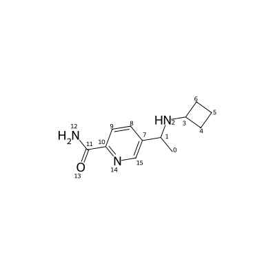 CC(NC1CCC1)c1ccc(C(N)=O)nc1